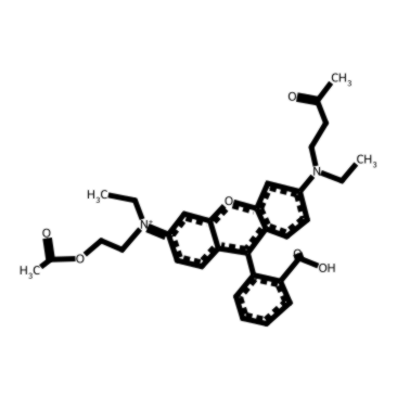 CCN(CCC(C)=O)c1ccc2c(-c3ccccc3C(=O)O)c3cc/c(=[N+](/CC)CCOC(C)=O)cc-3oc2c1